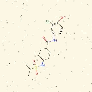 COc1ccc(NC(=O)[C@H]2CC[C@H](NS(=O)(=O)C(C)C)CC2)cc1Cl